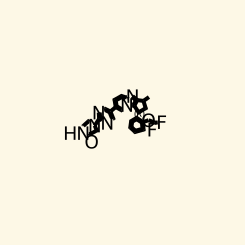 CC1C[C@H](c2ccccc2OC(F)F)c2c1nc1ccc(-c3cnc(N4CCNC(=O)C4)nc3)cn21